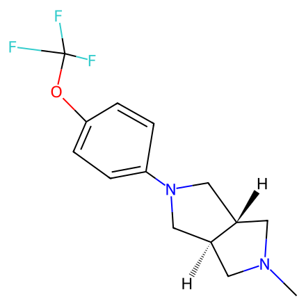 CN1C[C@H]2CN(c3ccc(OC(F)(F)F)cc3)C[C@@H]2C1